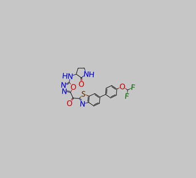 O=C(c1nnc(NC2CCNC2=O)o1)c1nc2ccc(-c3ccc(OC(F)F)cc3)cc2s1